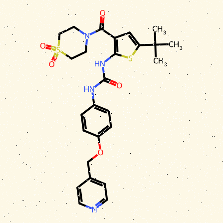 CC(C)(C)c1cc(C(=O)N2CCS(=O)(=O)CC2)c(NC(=O)Nc2ccc(OCc3ccncc3)cc2)s1